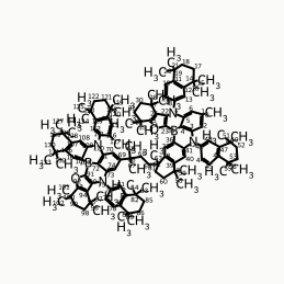 Cc1cc2c3c(c1)N(c1ccc4c(c1)C(C)(C)CCC4(C)C)c1c(oc4c1C(C)(C)CCC4(C)C)B3c1cc3c(cc1N2c1ccc2c(c1)C(C)(C)CCC2(C)C)C(C)(C)CCC3(C)CCC(C)(C)c1cc2c3c(c1)N(c1ccc4c(c1)C(C)(C)CCC4(C)C)c1c(oc4c1C(C)(C)CCC4(C)C)B3c1cc3c(cc1N2c1cc2c(cc1C)C(C)(C)CCC2(C)C)C(C)(C)CCC3(C)C